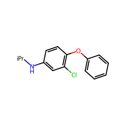 CC(C)Nc1ccc(Oc2ccccc2)c(Cl)c1